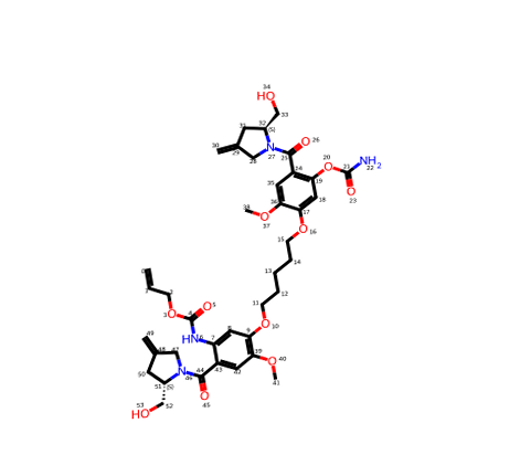 C=CCOC(=O)Nc1cc(OCCCCCOc2cc(OC(N)=O)c(C(=O)N3CC(=C)C[C@H]3CO)cc2OC)c(OC)cc1C(=O)N1CC(=C)C[C@H]1CO